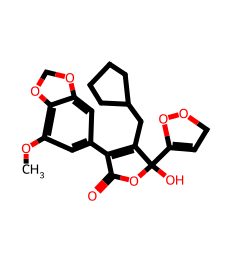 COc1cc(C2=C(CC3CCCC3)C(O)(C3=CCOO3)OC2=O)cc2c1OCO2